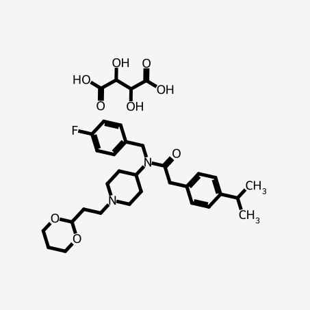 CC(C)c1ccc(CC(=O)N(Cc2ccc(F)cc2)C2CCN(CCC3OCCCO3)CC2)cc1.O=C(O)C(O)C(O)C(=O)O